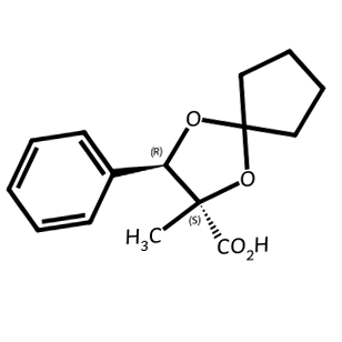 C[C@]1(C(=O)O)OC2(CCCC2)O[C@@H]1c1ccccc1